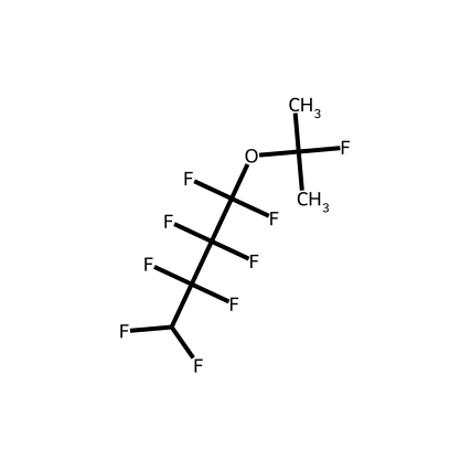 CC(C)(F)OC(F)(F)C(F)(F)C(F)(F)C(F)F